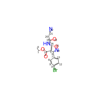 CCOC(=O)c1c(-c2ccc(Br)cc2)noc1NC(=O)CC#N